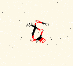 CCOC1(C)COC(=O)O1